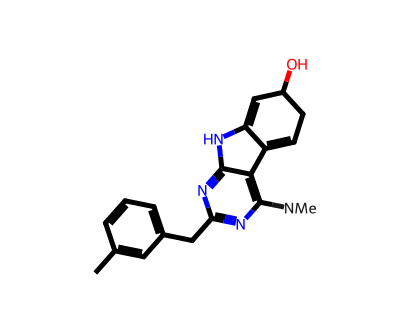 CNc1nc(Cc2cccc(C)c2)nc2[nH]c3c(c12)=CCC(O)C=3